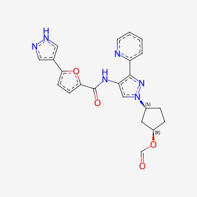 O=CO[C@@H]1CC[C@H](n2cc(NC(=O)c3ccc(-c4cn[nH]c4)o3)c(-c3ccccn3)n2)C1